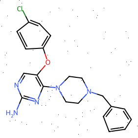 Nc1ncc(Oc2ccc(Cl)cc2)c(N2CCN(Cc3ccccc3)CC2)n1